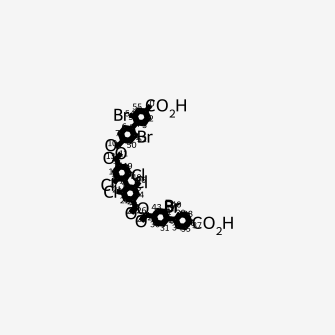 O=C(O)c1ccc(-c2ccc(C(=O)OC(=O)c3cc(Cl)c(-c4c(Cl)cc(C(=O)OC(=O)c5ccc(-c6ccc(C(=O)O)cc6Br)c(Br)c5)cc4Cl)c(Cl)c3)cc2Br)c(Br)c1